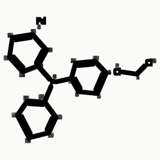 ClCCl.[Pd].c1ccc(P(c2ccccc2)c2ccccc2)cc1